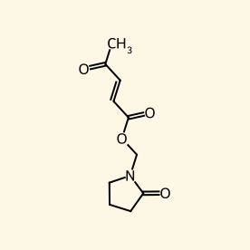 CC(=O)C=CC(=O)OCN1CCCC1=O